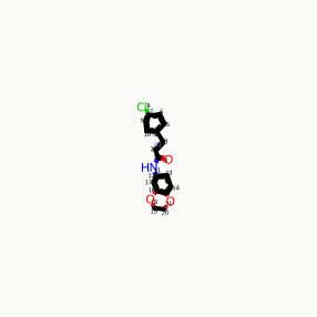 O=C(/C=C/c1ccc(Cl)cc1)Nc1ccc2c(c1)OCCO2